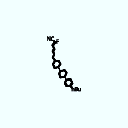 CCCCc1ccc([C@H]2CC[C@H](C3CCC(CC/C=C/C=C(\F)C#N)CC3)CC2)cc1